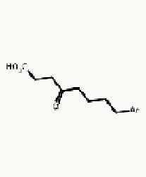 CC(=O)CCCCC(=O)CCC(=O)O